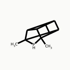 CC12PC3(C)C4C5C(C41)C2C53